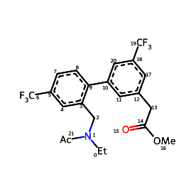 CCN(Cc1cc(C(F)(F)F)ccc1-c1cc(CC(=O)OC)cc(C(F)(F)F)c1)C(C)=O